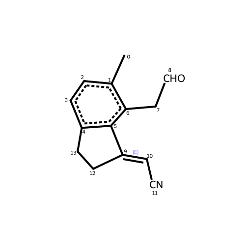 Cc1ccc2c(c1CC=O)/C(=C/C#N)CC2